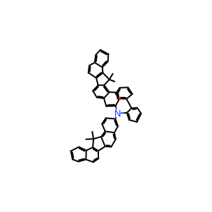 CC1(C)c2c(ccc3ccccc23)-c2ccc3cc(N(c4ccc5c6c(ccc5c4)-c4ccc5ccccc5c4C6(C)C)c4ccccc4-c4ccccc4)ccc3c21